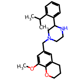 COc1cc(CN2CCNC(c3ccccc3C(C)C)C2)cc2c1OCCC2